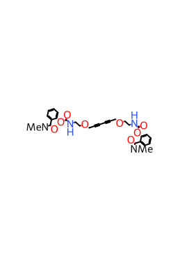 CNC(=O)c1ccccc1OC(=O)NCCOCC#CC#CCOCCNC(=O)Oc1ccccc1C(=O)NC